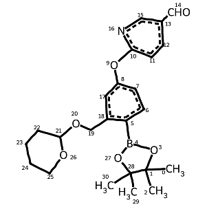 CC1(C)OB(c2ccc(Oc3ccc(C=O)cn3)cc2COC2CCCCO2)OC1(C)C